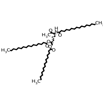 CCCCCCCCCCCCCCCC(=O)N[C@@H](CSC[C@@H](COC(=O)CCCCCCCCCCCCCCC)OC(=O)CCCCCCCCCCCCCCC)C(C)=O